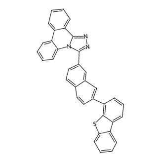 c1ccc2c(c1)sc1c(-c3ccc4ccc(-c5nnc6c7ccccc7c7ccccc7n56)cc4c3)cccc12